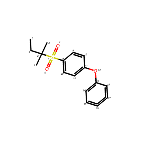 CCC(C)(C)S(=O)(=O)c1ccc(OC2=CC=C=C=C2)cc1